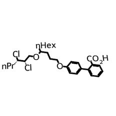 CCCCCCC(CCCOc1ccc(-c2ccccc2C(=O)O)cc1)OC[C@H](Cl)[C@@H](Cl)CCC